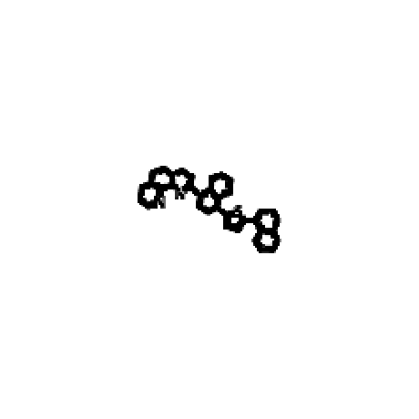 c1ccc2c(-c3ccc(-c4ccc(-c5ccc6ccc7cccnc7c6n5)c5ccccc45)s3)cccc2c1